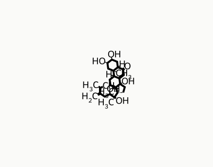 C=C(C[C@@H](O)[C@](C)(O)[C@H]1CC[C@@]2(O)C3=CC(=O)[C@@H]4C[C@@H](O)[C@@H](O)C[C@]4(C)[C@H]3CC[C@]12C)C(C)C